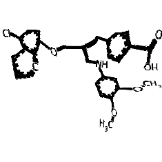 COc1ccc(NCC(=Cc2ccc(C(=O)O)cc2)COc2ccc(Cl)c3ccccc23)cc1OC